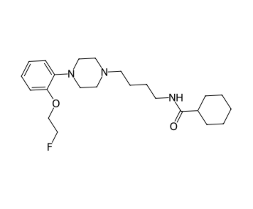 O=C(NCCCCN1CCN(c2ccccc2OCCF)CC1)C1CCCCC1